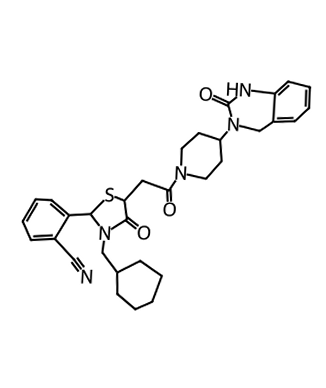 N#Cc1ccccc1C1SC(CC(=O)N2CCC(N3Cc4ccccc4NC3=O)CC2)C(=O)N1CC1CCCCC1